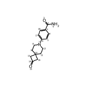 NC(=O)c1ccc(N2CCC3(CC2)CC(=O)C3)cc1